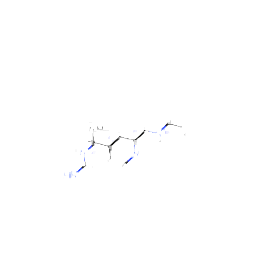 C=NC(=C\N=C\CC)/C=C(C)/C(=N\C=N)NC